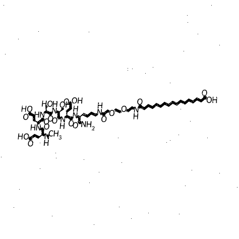 CN[C@@H](CCC(=O)O)C(=O)N[C@@H](CCC(=O)O)C(=O)N[C@@H](CO)C(=O)N[C@@H](CO)C(=O)N[C@@H](CCC(=O)O)C(=O)N[C@@H](CCCCNC(=O)COCCOCCNC(=O)CCCCCCCCCCCCCCCC(=O)O)C(N)=O